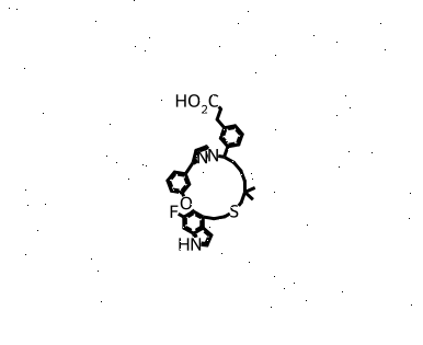 CC1(C)CCCC(c2cccc(CCC(=O)O)c2)n2ccc(n2)-c2cccc(c2)Oc2c(F)cc3[nH]ccc3c2CCSC1